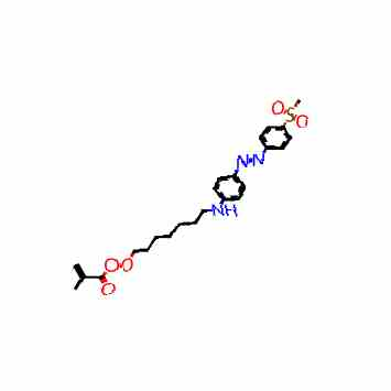 C=C(C)C(=O)OOCCCCCCCNc1ccc(N=Nc2ccc(S(C)(=O)=O)cc2)cc1